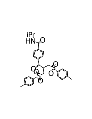 Cc1ccc(S(=O)(=O)CC(CS(=O)(=O)c2ccc(C)cc2)C(=O)c2ccc(C(=O)NC(C)C)cc2)cc1